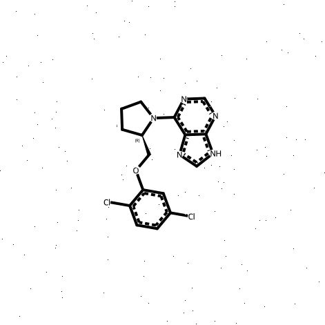 Clc1ccc(Cl)c(OC[C@H]2CCCN2c2ncnc3[nH]cnc23)c1